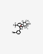 CN1C(=N)N[C@](C)(c2ccc(-c3cccc(C#N)c3)s2)C(c2ccc(C(F)(F)F)cn2)C1=O